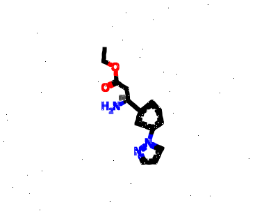 CCOC(=O)C[C@H](N)c1cccc(-n2cccn2)c1